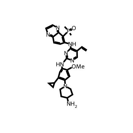 C=Cc1cnc(Nc2cc(C3CC3)c(N3CCC(N)CC3)cc2OC)nc1Nc1ccc2nccnc2c1P(C)(C)=O